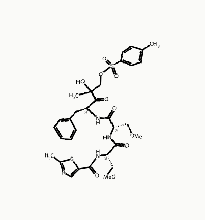 COC[C@H](NC(=O)c1cnc(C)s1)C(=O)N[C@@H](COC)C(=O)N[C@@H](Cc1ccccc1)C(=O)C(C)(O)COS(=O)(=O)c1ccc(C)cc1